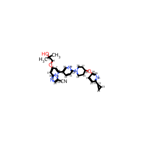 CC(C)(O)COc1cc(-c2ccc(N3CCC(Oc4ccc(C5CC5)nc4)CC3)nc2)n2c(C#N)cnc2c1